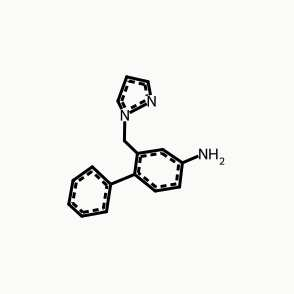 Nc1ccc(-c2ccccc2)c(Cn2cccn2)c1